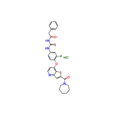 Cl.O=C(Cc1ccccc1)NC(=S)Nc1ccc(Oc2ccnc3cc(C(=O)N4CCCCCC4)sc23)c(F)c1